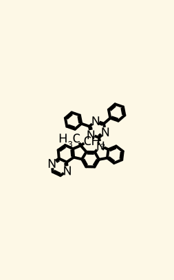 CC1(C)c2ccc3nccnc3c2-c2ccc3c4ccccc4n(-c4nc(-c5ccccc5)nc(-c5ccccc5)n4)c3c21